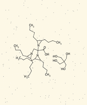 CCCCC1C(CCCC)N1CC(C(=O)O)(N1C(CCCC)C1CCCC)N1C(CCCC)C1CCCC.OCC(CO)(CO)CO